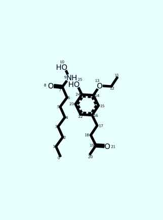 CCCCCCCC(=O)NO.CCOc1cc(CCC(C)=O)ccc1O